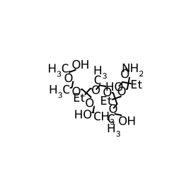 CCC(CO)(CON)COCC(CC)(COCC(C)OCC(CC)(COCC(C)O)COC(C)COC(C)CO)COC(C)CO